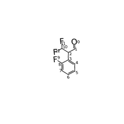 O=CC(c1ccccc1F)C(F)F